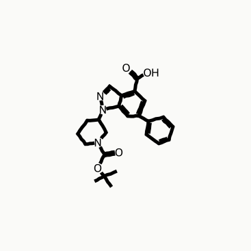 CC(C)(C)OC(=O)N1CCCC(n2ncc3c(C(=O)O)cc(-c4ccccc4)cc32)C1